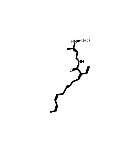 C=CC(=CC/C=C/C/C=C\C=C/C)C(=O)NC/C=C(\C)NC=O